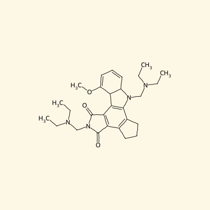 CCN(CC)CN1C(=O)c2c3c(c4c(c2C1=O)C1C(OC)=CC=CC1N4CN(CC)CC)CCC3